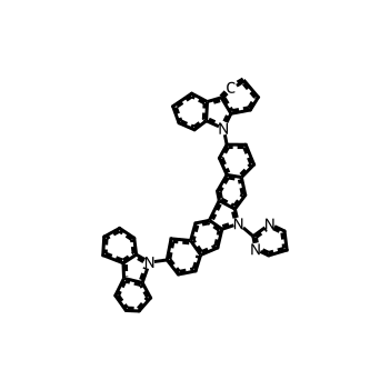 c1cnc(-n2c3cc4ccc(-n5c6ccccc6c6ccccc65)cc4cc3c3cc4cc(-n5c6ccccc6c6ccccc65)ccc4cc32)nc1